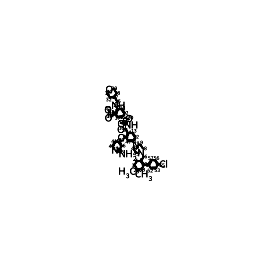 CC1(C)CCC(CN2CCN(c3ccc(C(=O)NS(=O)(=O)c4ccc(NCC5CCOCC5)c([N+](=O)[O-])c4)c(Oc4ccnc(N)c4)c3)CC2)=C(c2ccc(Cl)cc2)C1